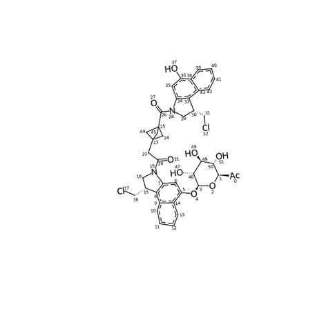 CC(=O)[C@H]1O[C@@H](Oc2cc3c(c4ccccc24)[C@H](CCl)CN3C(=O)CC23CC(C(=O)N4C[C@@H](CCl)c5c4cc(O)c4ccccc54)(C2)C3)[C@H](O)[C@@H](O)[C@@H]1O